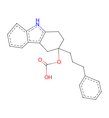 O=C(O)OC1(CCCc2ccccc2)CCc2[nH]c3ccccc3c2C1